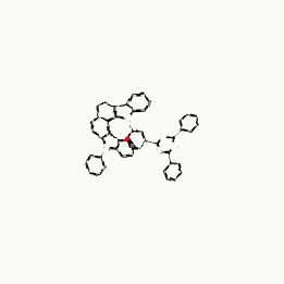 c1ccc(-c2nc(-c3ccccc3)nc(-c3cccc(-n4c5ccccc5c5ccc6ccc7c(c8ccccc8n7-c7ccccc7)c6c54)c3)n2)cc1